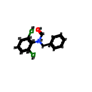 O=[C]N(Cc1ccccc1)c1c(Cl)cccc1Cl